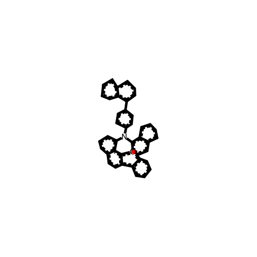 c1ccc2c(-c3ccc(N(c4cccc5ccccc45)c4cccc5ccc6c7ccccc7oc6c45)cc3)cccc2c1